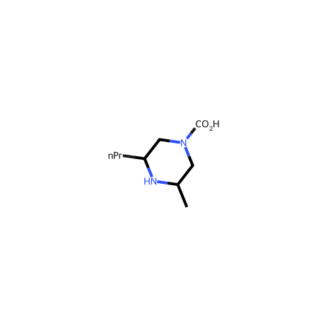 CCCC1CN(C(=O)O)CC(C)N1